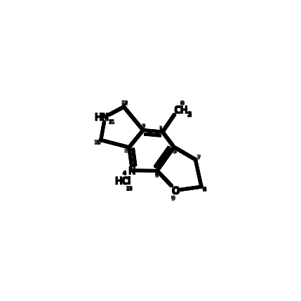 Cc1c2c(nc3c1CCO3)CNC2.Cl